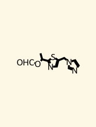 CC(OC=O)c1ncc(Cn2ccnc2)s1